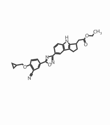 CCOC(=O)CC1CCc2c1[nH]c1ccc(-c3noc(-c4ccc(OCC5CC5)c(C#N)c4)n3)cc21